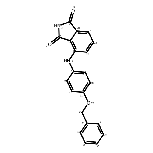 O=C1NC(=O)c2c(Nc3ccc(OCc4ccccc4)cc3)cccc21